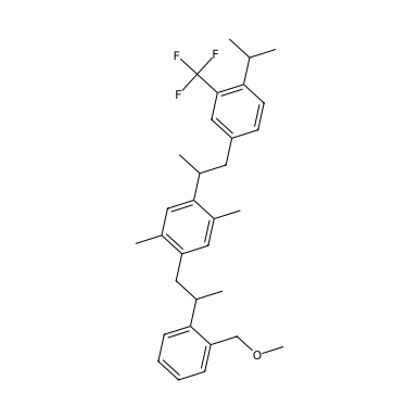 COCc1ccccc1C(C)Cc1cc(C)c(C(C)Cc2ccc(C(C)C)c(C(F)(F)F)c2)cc1C